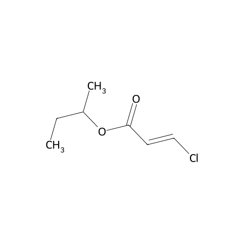 CCC(C)OC(=O)C=CCl